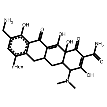 CCCCCCc1cc(CN)c(O)c2c1CC1CC3C(N(C)C)C(O)=C(C(N)=O)C(=O)C3(O)C(O)=C1C2=O